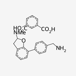 CNC1Cc2cccc(-c3ccc(CN)cc3)c2O1.O=C(O)c1cccc(C(=O)O)c1